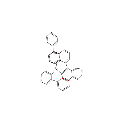 c1ccc(-c2ccc(N(c3ccccc3-c3ccccc3)c3ccc4ccccc4c3-c3cccc4ccccc34)cc2)cc1